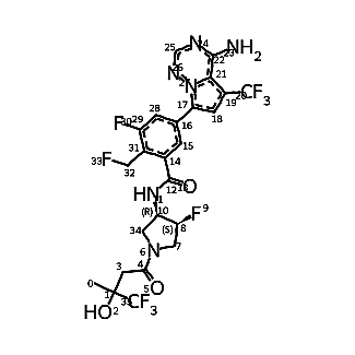 CC(O)(CC(=O)N1C[C@H](F)[C@H](NC(=O)c2cc(-c3cc(C(F)(F)F)c4c(N)ncnn34)cc(F)c2CF)C1)C(F)(F)F